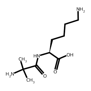 CC(C)(N)C(=O)N[C@@H](CCCCN)C(=O)O